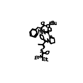 CCN(CC)C(=O)SCC(C)C(=O)N1CCC[C@H]1C(=O)N[C@@H](Cc1ccccc1)C(=O)OC(C)(C)C